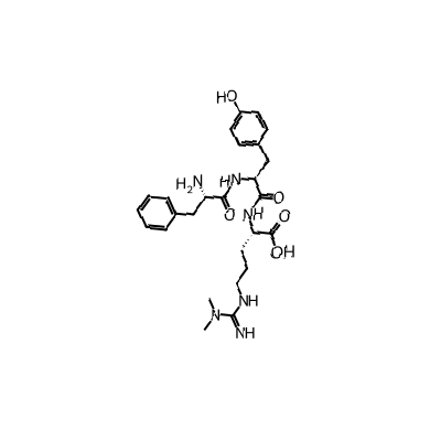 CN(C)C(=N)NCCC[C@H](NC(=O)[C@H](Cc1ccc(O)cc1)NC(=O)[C@@H](N)Cc1ccccc1)C(=O)O